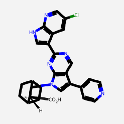 O=C(O)[C@@H]1C2CCC(CC2)C1n1cc(-c2ccncc2)c2cnc(-c3c[nH]c4ncc(Cl)cc34)nc21